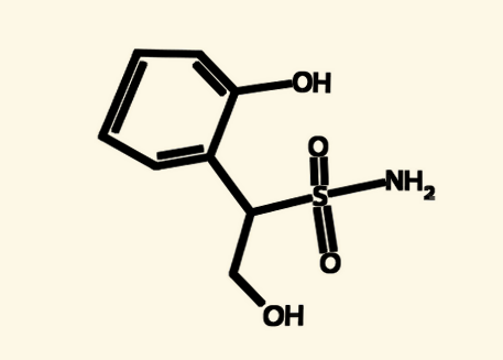 NS(=O)(=O)C(CO)c1ccccc1O